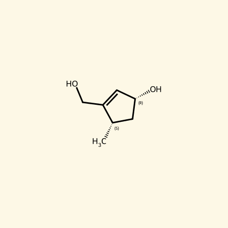 C[C@H]1C[C@@H](O)C=C1CO